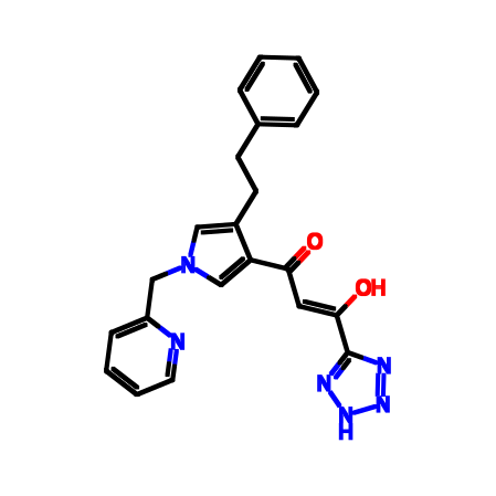 O=C(C=C(O)c1nn[nH]n1)c1cn(Cc2ccccn2)cc1CCc1ccccc1